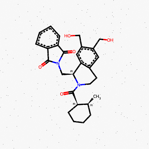 C[C@H]1CCCC[C@H]1C(=O)N1CCc2cc(CO)c(CO)cc2[C@@H]1CN1C(=O)c2ccccc2C1=O